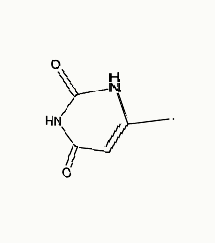 [CH2]c1cc(=O)[nH]c(=O)[nH]1